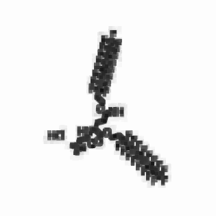 C[N+](C)(C)CC(=O)N[C@@H](CCC(=N)OCCC(F)(F)C(F)(F)C(F)(F)C(F)(F)C(F)(F)C(F)(F)C(F)(F)C(F)(F)F)C(=O)OCCC(F)(F)C(F)(F)C(F)(F)C(F)(F)C(F)(F)C(F)(F)C(F)(F)C(F)(F)F.Cl